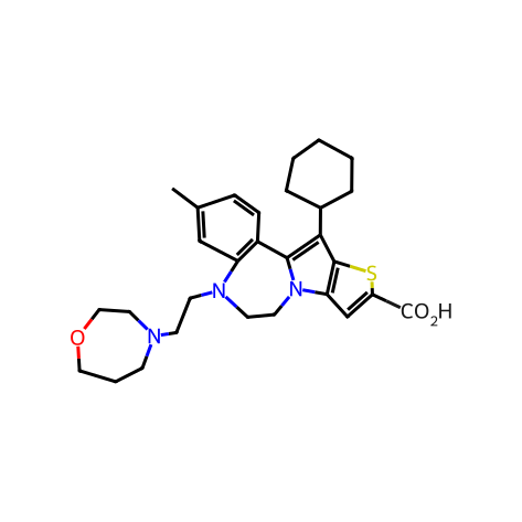 Cc1ccc2c(c1)N(CCN1CCCOCC1)CCn1c-2c(C2CCCCC2)c2sc(C(=O)O)cc21